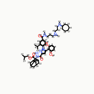 COc1cccc(OC)c1-c1cc(C(=O)NC2(C(=O)OCC(C)C)C3CC4CC(C3)CC2C4)nn1-c1ccc(C(=O)N(C)CCCN(C)CCCN(C)C2CCCCCC2)cc1C(C)C